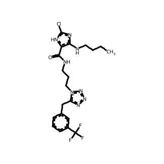 CCCCNc1nc(Cl)[nH]c1C(=O)NCCCn1nnnc1Cc1cccc(C(F)(F)F)c1